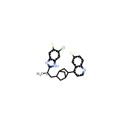 C[C@H](CC1CC2CC1CC2c1ccnc2ccc(F)cc12)c1nc2cc(F)c(Cl)cc2[nH]1